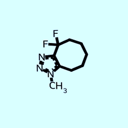 Cn1nnc2c1CCCCCC2(F)F